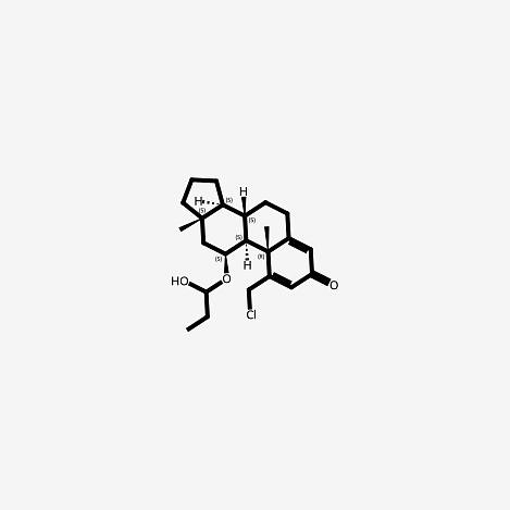 CCC(O)O[C@H]1C[C@]2(C)CCC[C@H]2[C@@H]2CCC3=CC(=O)C=C(CCl)[C@]3(C)[C@H]21